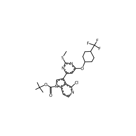 CSc1nc(OC2CCC(C(F)(F)F)CC2)cc(-c2cn(C(=O)OC(C)(C)C)c3ccnc(Cl)c23)n1